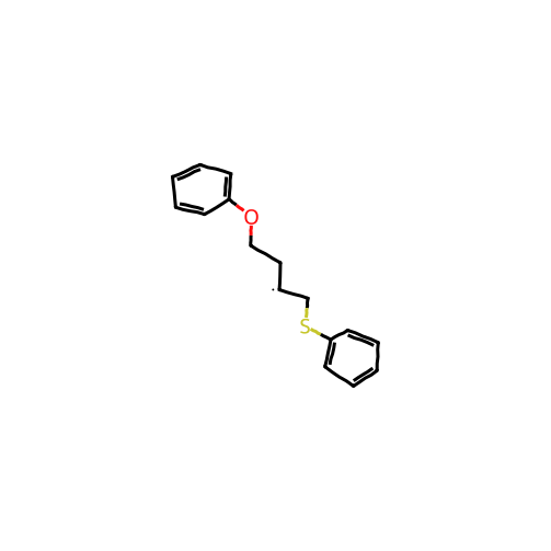 [CH](CCOc1ccccc1)CSc1ccccc1